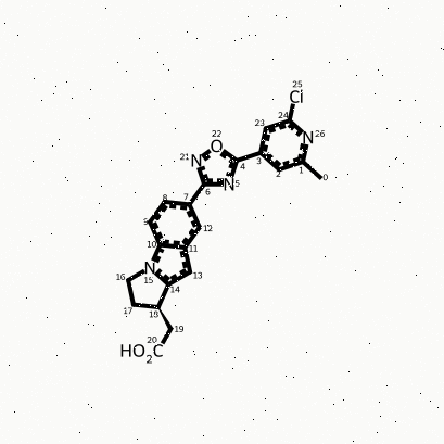 Cc1cc(-c2nc(-c3ccc4c(c3)cc3n4CC[C@@H]3CC(=O)O)no2)cc(Cl)n1